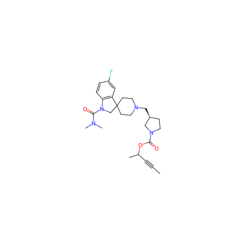 CC#CC(C)OC(=O)N1CC[C@H](CN2CCC3(CC2)CN(C(=O)N(C)C)c2ccc(F)cc23)C1